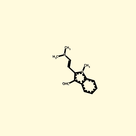 CN(C)C=Cc1c(C=O)c2ccccc2n1C